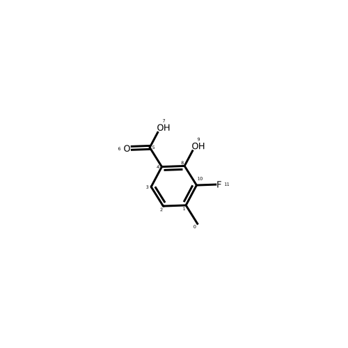 Cc1ccc(C(=O)O)c(O)c1F